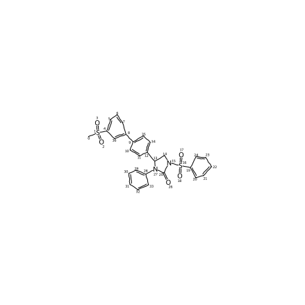 CS(=O)(=O)c1cccc(-c2ccc(C3CN(S(=O)(=O)c4ccccc4)C(=O)N3c3ccccc3)cc2)c1